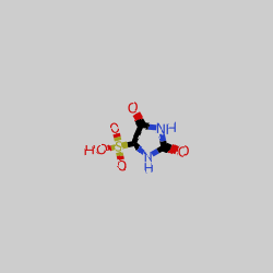 O=C1NC(=O)C(S(=O)(=O)O)N1